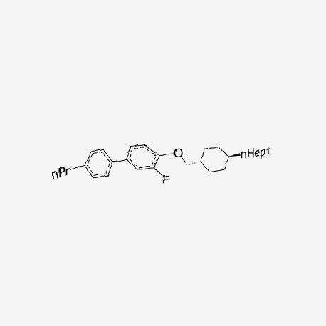 CCCCCCC[C@H]1CC[C@H](COc2ccc(-c3ccc(CCC)cc3)cc2F)CC1